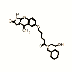 CC1c2cc(OCCCCC(=O)N(CCO)CC3CCCCC3)ccc2N=C2NC(=O)CN21